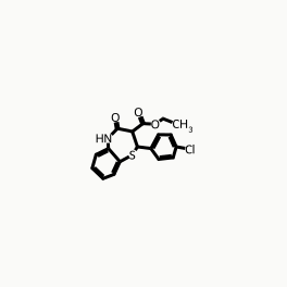 CCOC(=O)C1C(=O)Nc2ccccc2SC1c1ccc(Cl)cc1